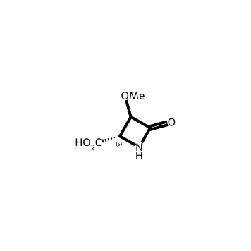 COC1C(=O)N[C@@H]1C(=O)O